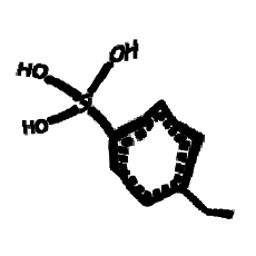 Cc1ccc([Si](O)(O)O)cc1